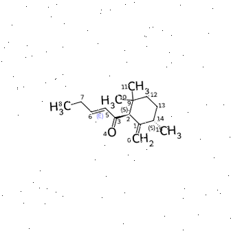 C=C1[C@@H](C(=O)/C=C/CC)C(C)(C)CC[C@@H]1C